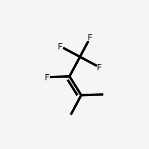 CC(C)=C(F)C(F)(F)F